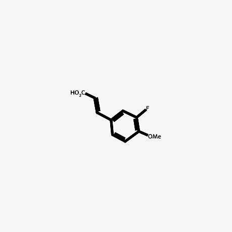 COc1ccc(/C=C/C(=O)O)cc1F